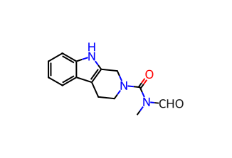 CN(C=O)C(=O)N1CCc2c([nH]c3ccccc23)C1